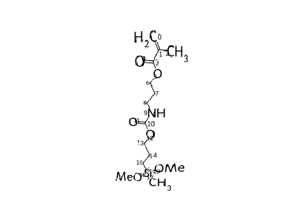 C=C(C)C(=O)OCCCNC(=O)OCCC[Si](C)(OC)OC